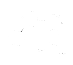 COc1cc2nncc(N3CCO[C@H](c4ccccc4)C3)c2cc1OC